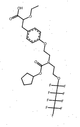 CCOC(Cc1ccc(OCCN(CCOC(F)(F)C(F)(F)C(F)(F)C(F)(F)F)C(=O)OC2CCCC2)cc1)C(=O)O